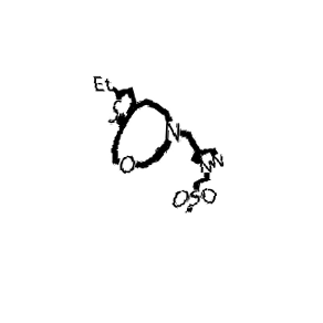 CCc1cc2c(s1)CCOCCCN(Cc1cnn(CCS(C)(=O)=O)c1)CCC2